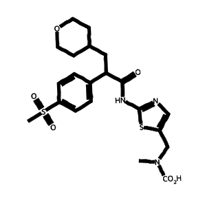 CN(Cc1cnc(NC(=O)C(CC2CCOCC2)c2ccc(S(C)(=O)=O)cc2)s1)C(=O)O